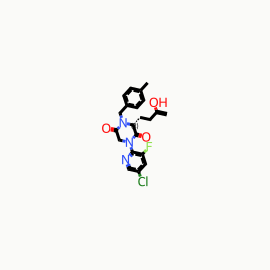 C=C(O)CC[C@@H]1C(=O)N(c2ncc(Cl)cc2F)CC(=O)N1Cc1ccc(C)cc1